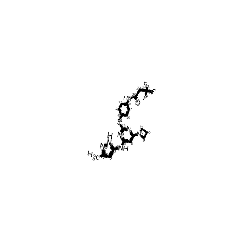 Cc1cc(Nc2cc(N3CCC3)nc(Sc3ccc(NC(=O)CC(F)(F)F)cc3)n2)[nH]n1